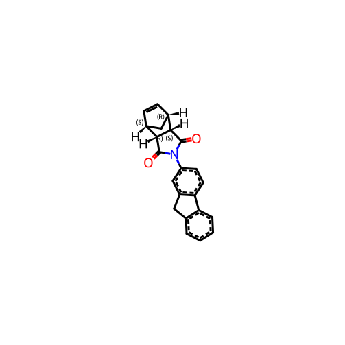 O=C1[C@@H]2[C@H](C(=O)N1c1ccc3c(c1)Cc1ccccc1-3)[C@@H]1C=C[C@H]2C1